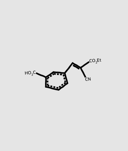 CCOC(=O)C(C#N)=Cc1cccc(C(=O)O)c1